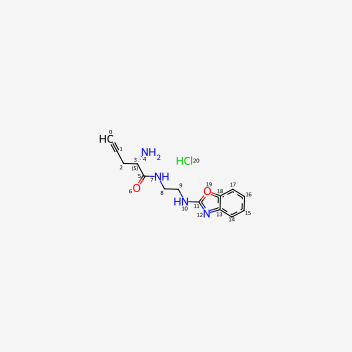 C#CC[C@H](N)C(=O)NCCNc1nc2ccccc2o1.Cl